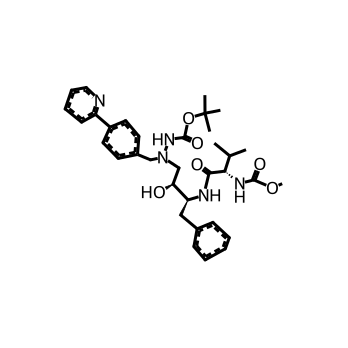 COC(=O)N[C@H](C(=O)N[C@@H](Cc1ccccc1)[C@@H](O)CN(Cc1ccc(-c2ccccn2)cc1)NC(=O)OC(C)(C)C)C(C)C